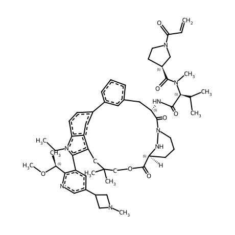 C=CC(=O)N1CC[C@H](C(=O)N(C)[C@H](C(=O)N[C@H]2Cc3cccc(c3)-c3ccc4c(c3)c(c(-c3cc(C5CN(C)C5)cnc3[C@H](C)OC)n4CC)CC(C)(C)COC(=O)[C@@H]3CCCN(N3)C2=O)C(C)C)C1